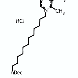 CCCCCCCCCCCCCCCCCCCCCC[n+]1cccc(C)c1C.Cl